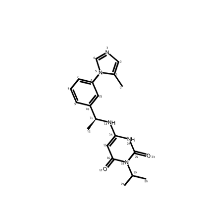 Cc1cncn1-c1cccc([C@H](C)Nc2cc(=O)n(C(C)C)c(=O)[nH]2)c1